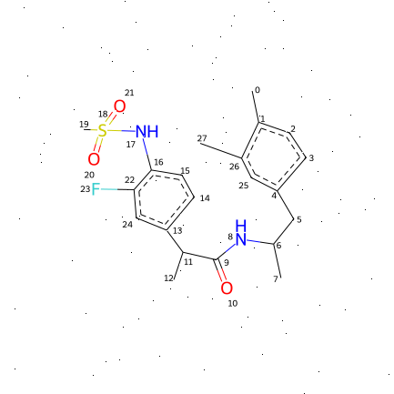 Cc1ccc(CC(C)NC(=O)C(C)c2ccc(NS(C)(=O)=O)c(F)c2)cc1C